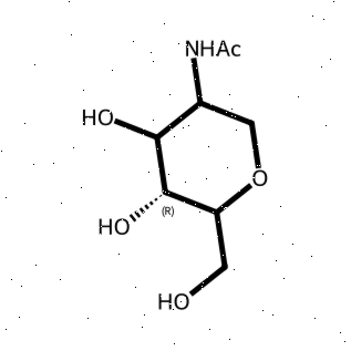 CC(=O)NC1COC(CO)[C@H](O)C1O